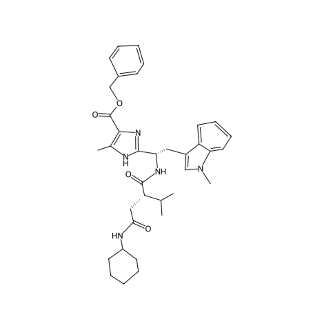 Cc1[nH]c([C@H](Cc2cn(C)c3ccccc23)NC(=O)[C@@H](CC(=O)NC2CCCCC2)C(C)C)nc1C(=O)OCc1ccccc1